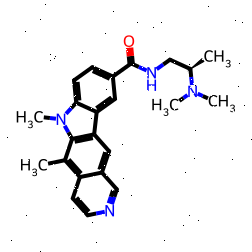 Cc1c2ccncc2cc2c3cc(C(=O)NC[C@@H](C)N(C)C)ccc3n(C)c12